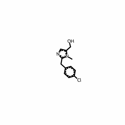 Cn1c(CO)cnc1Cc1ccc(Cl)cc1